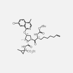 C=CCCCCC[C@H](NC(=O)OC(C)(C)C)C(=O)N1C[C@H](Oc2ncc(C)c3ccc(Cl)cc23)[C@@H](C)[C@H]1C(=O)N[C@]1(C(=O)OCC)CC1C